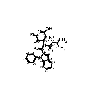 CC(C)[C@H](N)C(=O)N(C(=O)c1cc2ccccc2n1-c1ccccc1)C(CC(=O)O)C(=O)CF